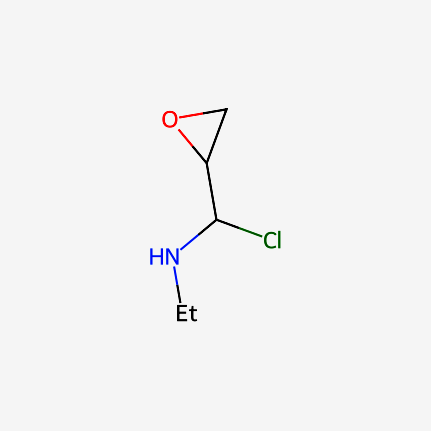 CCNC(Cl)C1CO1